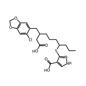 CCCC(CCCC(CC(=O)O)Cc1cc2c(cc1Cl)OCO2)Sc1n[nH]cc1C(=O)O